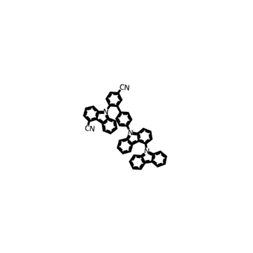 N#Cc1ccc(-n2c3ccccc3c3c(C#N)cccc32)c(-c2ccc(-n3c4ccccc4c4c(-n5c6ccccc6c6ccccc65)cccc43)cc2)c1